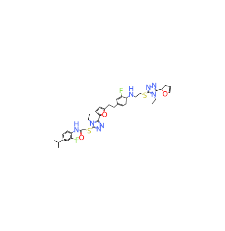 CCn1c(SCC(=O)Nc2ccc(C(C)C)cc2F)nnc1-c1ccc(CCC2=CCC(NCCSc3nnc(C4CC=CO4)n3CC)C(F)=C2)o1